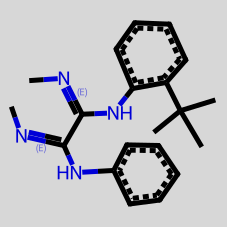 C/N=C(Nc1ccccc1)\C(=N/C)Nc1ccccc1C(C)(C)C